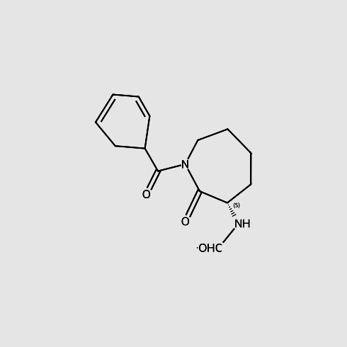 O=[C]N[C@H]1CCCCN(C(=O)C2C=CC=CC2)C1=O